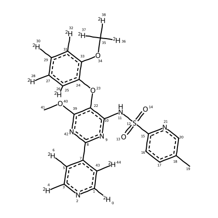 [2H]c1nc([2H])c([2H])c(-c2nc(NS(=O)(=O)c3ccc(C)cn3)c(Oc3c([2H])c([2H])c([2H])c([2H])c3OC([2H])([2H])[2H])c(OC)n2)c1[2H]